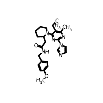 CCc1c(C)nc(-n2ccnc2)nc1N1CCCCC1CC(=O)NCc1ccc(OC)cc1